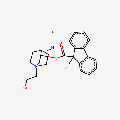 CC1(C(=O)O[C@H]2C[N+]3(CCO)CCC2CC3)c2ccccc2-c2ccccc21.[Br-]